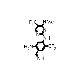 CNc1nc(Nc2cc(N)c(C=N)cc2C(F)(F)F)ncc1C(F)(F)F